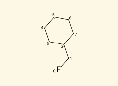 FC[C]1CC[CH]CC1